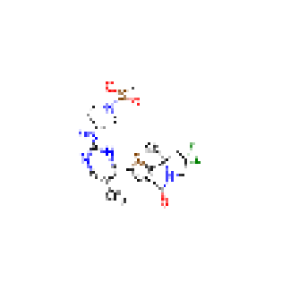 CCC12CC(F)(F)CN1C(=O)c1cc(-c3nc(NC4CCN(S(C)(=O)=O)CC4)ncc3C(F)(F)F)sc12